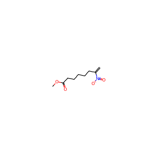 C=C(CCCCCC(=O)OC)[N+](=O)[O-]